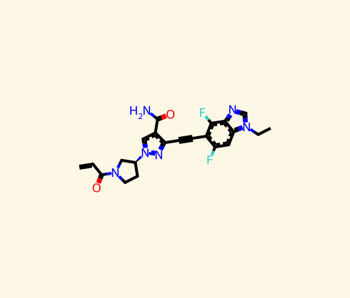 C=CC(=O)N1CC[C@H](n2cc(C(N)=O)c(C#Cc3c(F)cc4c(ncn4CC)c3F)n2)C1